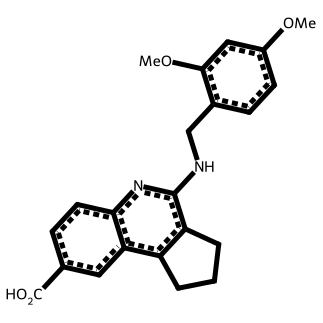 COc1ccc(CNc2nc3ccc(C(=O)O)cc3c3c2CCC3)c(OC)c1